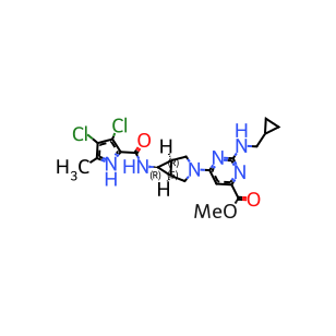 COC(=O)c1cc(N2C[C@@H]3[C@H](C2)[C@@H]3NC(=O)c2[nH]c(C)c(Cl)c2Cl)nc(NCC2CC2)n1